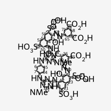 CNc1nc(Nc2ccc(Nc3nc(NC)nc(Nc4cc(S(=O)(=O)O)cc5cc(SOOO)c(N=Nc6cc(C(=O)O)cc(C(=O)O)c6)c(O)c45)n3)cc2)nc(Nc2cc(S(=O)(=O)O)cc3cc(SOOO)c(N=Nc4cc(C(=O)O)cc(C(=O)O)c4)c(O)c23)n1